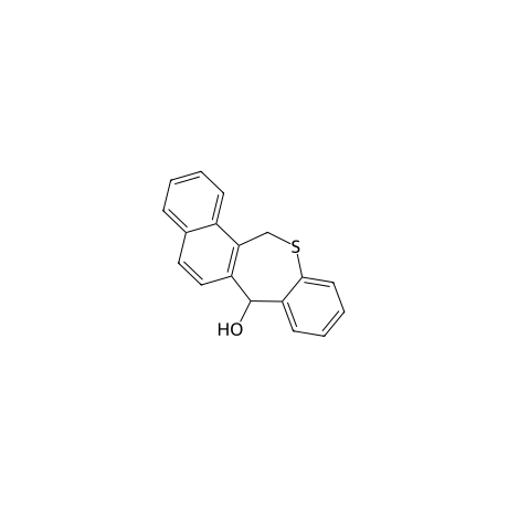 OC1c2ccccc2SCc2c1ccc1ccccc21